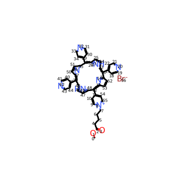 COC(=O)CCCC[n+]1ccc(-c2c3nc(c(-c4ccncc4)c4ccc([nH]4)c(-c4ccncc4)c4nc(c(-c5ccncc5)c5ccc2[nH]5)C=C4)C=C3)cc1.[Br-]